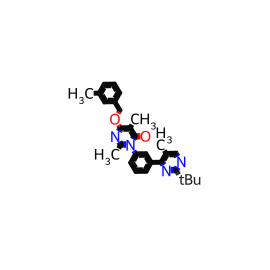 Cc1cccc(COc2nc(C)n(-c3cccc(-c4nc(C(C)(C)C)ncc4C)c3)c(=O)c2C)c1